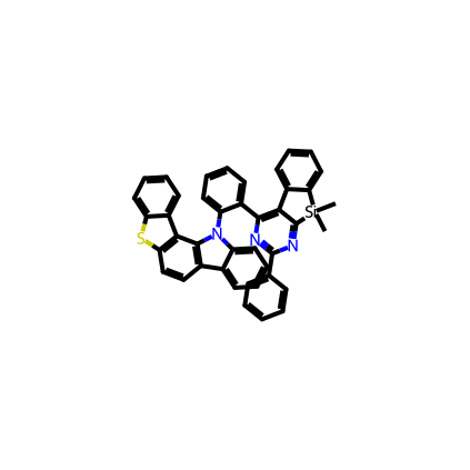 C[Si]1(C)c2ccccc2-c2c(-c3ccccc3-n3c4ccccc4c4ccc5sc6ccccc6c5c43)nc(-c3ccccc3)nc21